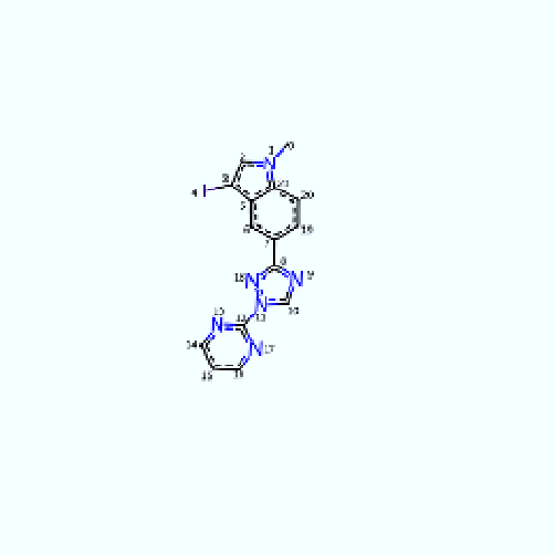 Cn1cc(I)c2cc(-c3ncn(-c4ncccn4)n3)ccc21